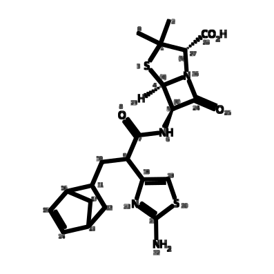 CC1(C)S[C@@H]2[C@H](NC(=O)C(CC3CC4C=CC3C4)c3csc(N)n3)C(=O)N2[C@H]1C(=O)O